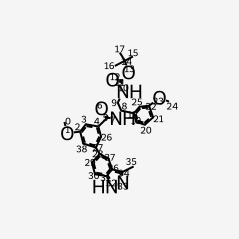 COc1cc(C(=O)NC(CNC(=O)OC(C)(C)C)c2cccc(OC)c2)cc(-c2ccc3[nH]nc(C)c3c2)c1